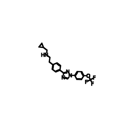 FC(F)(F)Oc1ccc(-n2cnc(-c3ccc(CCNCC4CC4)cc3)n2)cc1